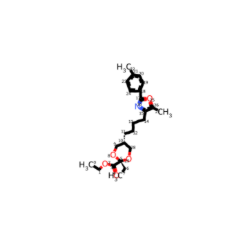 CCOC(=O)[C@]1(CC)OC[C@H](CCCCc2nc(-c3ccc(C)cc3)oc2C)CO1